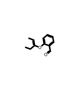 CC=C(CC)Oc1ccccc1C=O